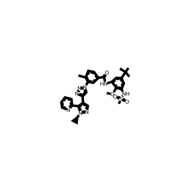 COc1c(NC(=O)c2ccc(C)c(-n3cc(-c4cnn(C5CC5)c4-c4ccccn4)nn3)c2)cc(C(C)(C)C)cc1NS(C)(=O)=O